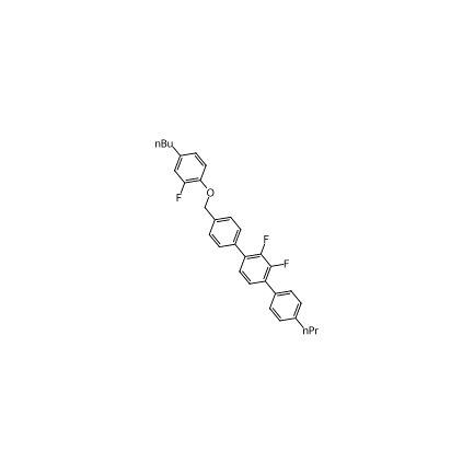 CCCCc1ccc(OCc2ccc(-c3ccc(-c4ccc(CCC)cc4)c(F)c3F)cc2)c(F)c1